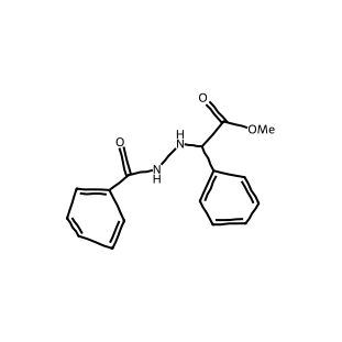 COC(=O)C(NNC(=O)c1ccccc1)c1ccccc1